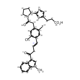 Cn1cc(C(=O)C/C=C/c2cc(F)c(CC(=O)N3CCC[C@H]3c3ncc(CCC(=O)O)s3)cc2Cl)c2ccccc21